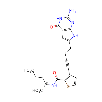 Nc1nc2[nH]c(CCC#Cc3ccsc3C(=O)N[C@@H](CCC(=O)O)C(=O)O)cc2c(=O)[nH]1